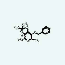 CC1O[C@@H](O)[C@H]2OC(C)(C)OC2[C@H]1OCc1ccccc1